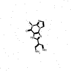 N=C/C(=C\N)c1nc2c([nH]1)c(=O)n(I)c1nccn21